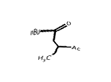 CCCCC(=O)C(C)C(C)=O